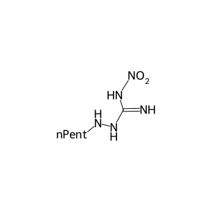 CCCCCNNC(=N)N[N+](=O)[O-]